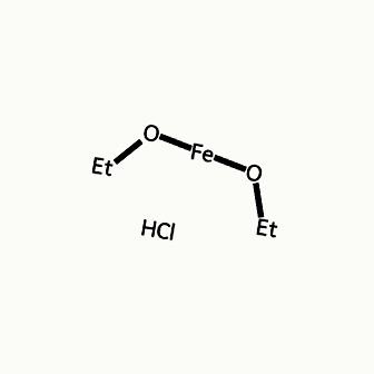 CC[O][Fe][O]CC.Cl